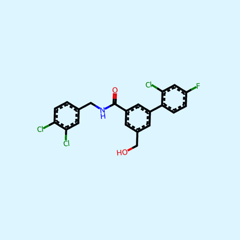 O=C(NCc1ccc(Cl)c(Cl)c1)c1cc(CO)cc(-c2ccc(F)cc2Cl)c1